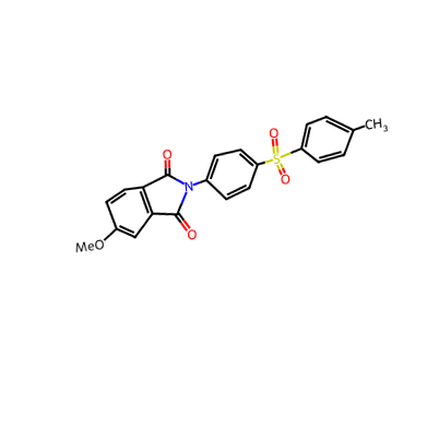 COc1ccc2c(c1)C(=O)N(c1ccc(S(=O)(=O)c3ccc(C)cc3)cc1)C2=O